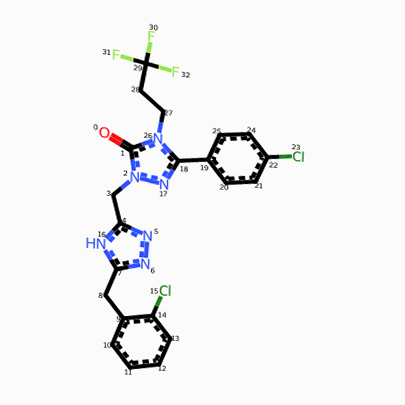 O=c1n(Cc2nnc(Cc3ccccc3Cl)[nH]2)nc(-c2ccc(Cl)cc2)n1CCC(F)(F)F